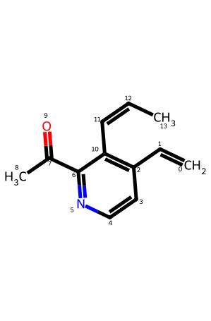 C=Cc1ccnc(C(C)=O)c1/C=C\C